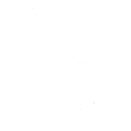 COC(=O)c1ccc2c(c1)NC(=O)/C2=C(\Nc1ccc(N(C)C(=O)CNC(=O)CCOCCOCCN=[N+]=[N-])cc1)c1ccccc1